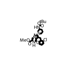 COC(=O)c1cn2nc(N3CCC[C@@H](NC(=O)OC(C)(C)C)C3)c(Cc3ccccc3Cl)c2c(=O)[nH]1